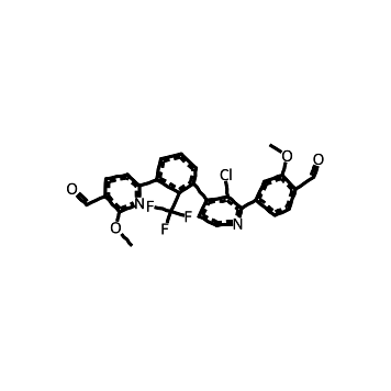 COc1cc(-c2nccc(-c3cccc(-c4ccc(C=O)c(OC)n4)c3C(F)(F)F)c2Cl)ccc1C=O